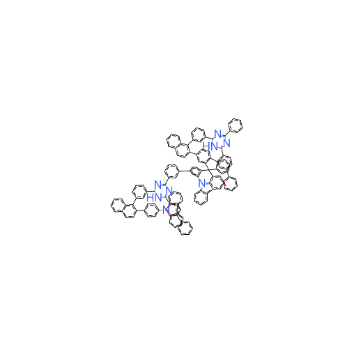 c1ccc(C2=NC(c3cccc(-c4c(-c5ccc6c(c5)C5(c7ccccc7-6)c6ccc(-c7cccc(C8=NC(c9cccc(-c%10c(-c%11ccc(-n%12c%13ccccc%13c%13ccccc%13%12)cc%11)ccc%11ccccc%10%11)c9)NC(c9ccc(-c%10ccccc%10)cc9)=N8)c7)cc6-n6c7ccccc7c7cccc5c76)ccc5ccccc45)c3)NC(c3ccc(-c4ccccc4)cc3)=N2)cc1